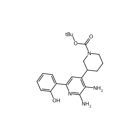 CC(C)(C)OC(=O)N1CCCC(c2cc(-c3ccccc3O)nc(N)c2N)C1